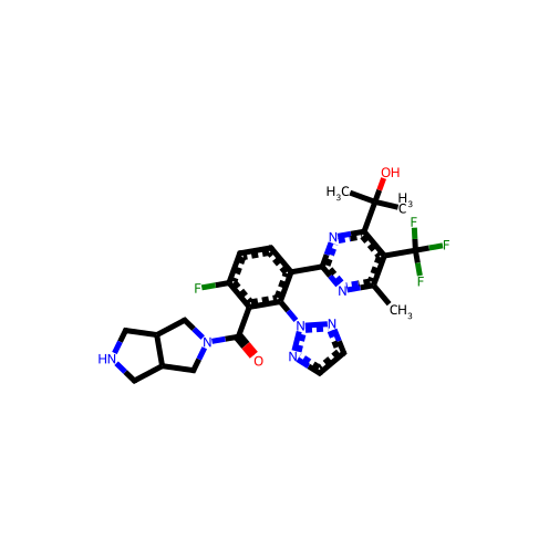 Cc1nc(-c2ccc(F)c(C(=O)N3CC4CNCC4C3)c2-n2nccn2)nc(C(C)(C)O)c1C(F)(F)F